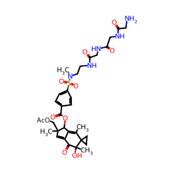 CC(=O)OCC1(C)C=C2C(=O)C(C)(O)C3(CC3)C(C)=C2C1OC(=O)c1ccc(S(=O)(=O)N(C)CCNC(=O)CNC(=O)CNC(=O)CN)cc1